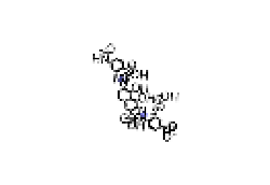 CC(=O)Nc1ccc(S(=O)(=O)O)c(/N=N/c2ccc3cc(S(=O)(=O)O)c(/N=N/c4ccc([N+](=O)[O-])cc4SOOO)c(O)c3c2O)c1